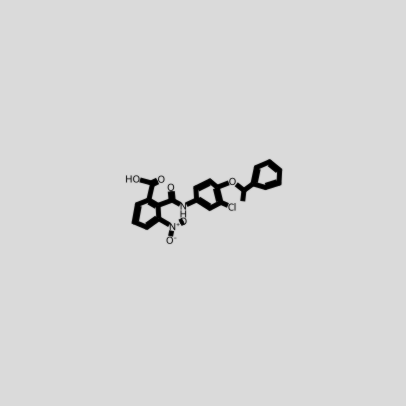 CC(Oc1ccc(NC(=O)c2c(C(=O)O)cccc2[N+](=O)[O-])cc1Cl)c1ccccc1